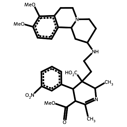 COC(=O)C1C(C)=NC(C)C(CCNC2CCN3CCc4c(ccc(OC)c4OC)C3C2)(C(=O)O)C1c1cccc([N+](=O)[O-])c1